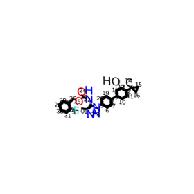 Cc1nnn(-c2ccc(-c3ccc(C4(C(=O)O)CC4)cc3)cc2)c1NC(=O)OCc1ccccc1F